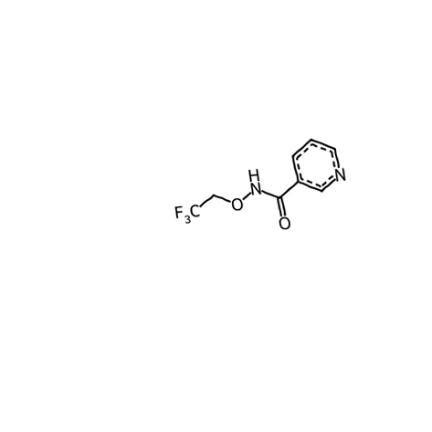 O=C(NOCC(F)(F)F)c1cccnc1